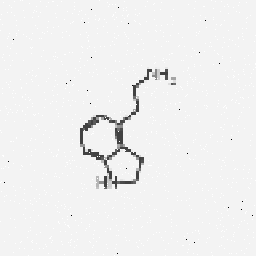 NCCc1cccc2c1CCN2